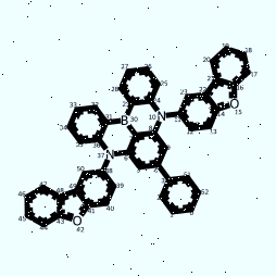 c1ccc(-c2cc3c4c(c2)N(c2ccc5oc6ccccc6c5c2)c2ccccc2B4c2ccccc2N3c2ccc3oc4ccccc4c3c2)cc1